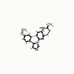 C=C1CCc2cc(-n3cncc3-c3ccc(OC)cc3)ccc2N1